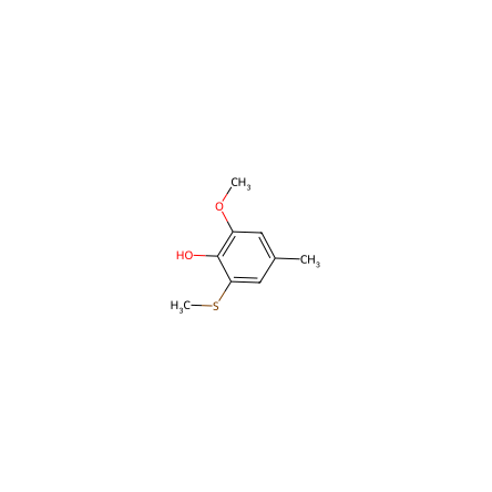 COc1cc(C)cc(SC)c1O